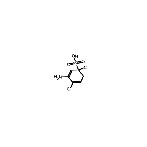 NC1=CC(Cl)(S(=O)(=O)O)CC=C1Cl